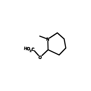 CN1CCCCC1OC(=O)O